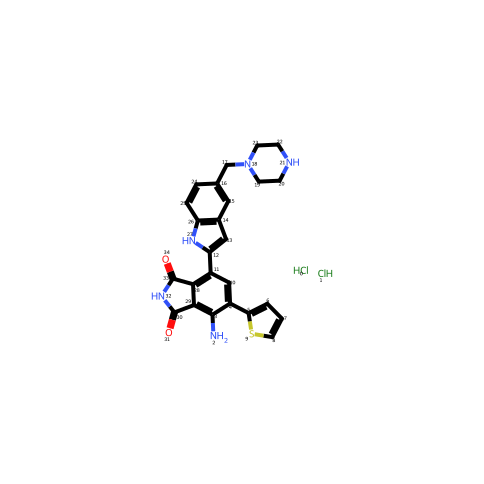 Cl.Cl.Nc1c(-c2cccs2)cc(-c2cc3cc(CN4CCNCC4)ccc3[nH]2)c2c1C(=O)NC2=O